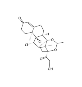 CC1O[C@@]2(C(=O)CO)CC[C@@]3(O1)[C@@H]1CCC4=CC(=O)CC[C@]4(C)[C@@]1(Cl)[C@@H](Cl)C[C@]23C